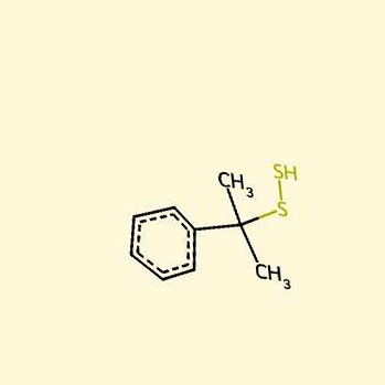 CC(C)(SS)c1ccccc1